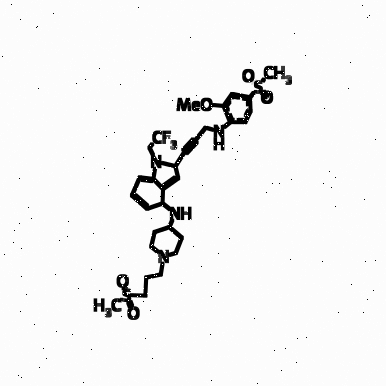 COc1cc(S(C)(=O)=O)ccc1NCC#CC1C=C2C(=CC=CC2NC2CCN(CCCS(C)(=O)=O)CC2)N1CC(F)(F)F